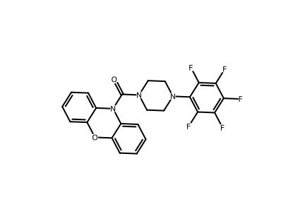 O=C(N1CCN(c2c(F)c(F)c(F)c(F)c2F)CC1)N1c2ccccc2Oc2ccccc21